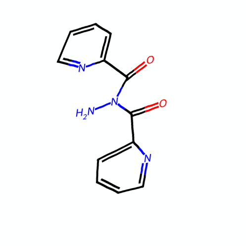 NN(C(=O)c1ccccn1)C(=O)c1ccccn1